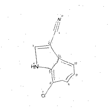 N#Cc1c[nH]c2c(Cl)cccc12